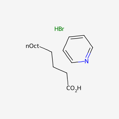 Br.CCCCCCCCCCCC(=O)O.c1ccncc1